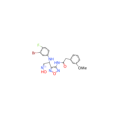 COc1cccc(CC(=O)Nc2nonc2C(/C=N\O)Nc2ccc(F)c(Br)c2)c1